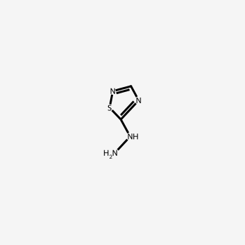 NNc1ncns1